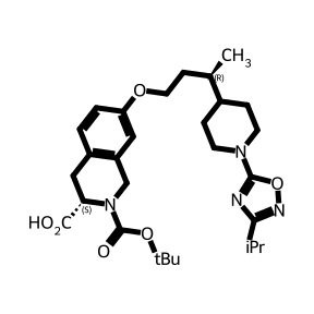 CC(C)c1noc(N2CCC([C@H](C)CCOc3ccc4c(c3)CN(C(=O)OC(C)(C)C)[C@H](C(=O)O)C4)CC2)n1